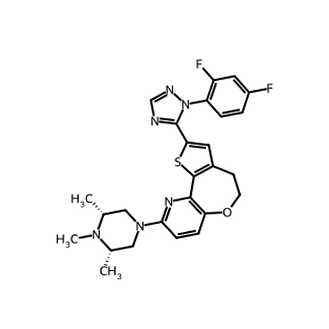 C[C@@H]1CN(c2ccc3c(n2)-c2sc(-c4ncnn4-c4ccc(F)cc4F)cc2CCO3)C[C@H](C)N1C